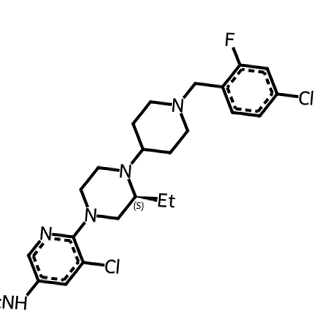 CC[C@H]1CN(c2ncc(NC(C)=O)cc2Cl)CCN1C1CCN(Cc2ccc(Cl)cc2F)CC1